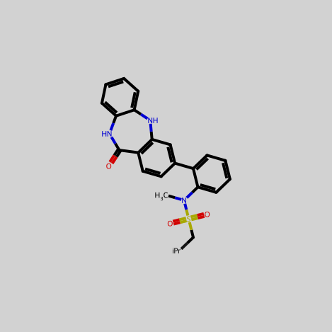 CC(C)CS(=O)(=O)N(C)c1ccccc1-c1ccc2c(c1)Nc1ccccc1NC2=O